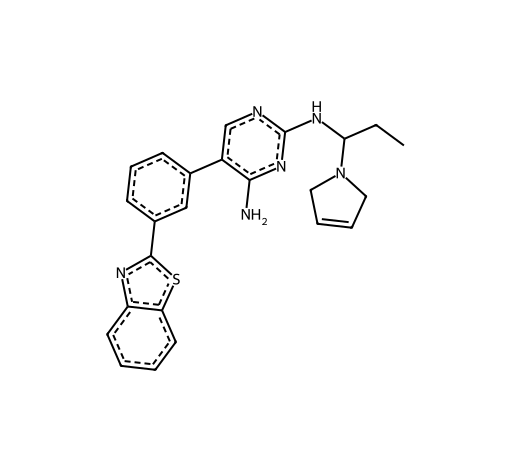 CCC(Nc1ncc(-c2cccc(-c3nc4ccccc4s3)c2)c(N)n1)N1CC=CC1